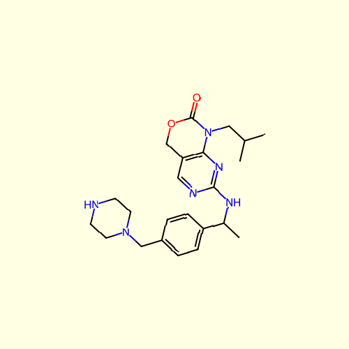 CC(C)CN1C(=O)OCc2cnc(NC(C)c3ccc(CN4CCNCC4)cc3)nc21